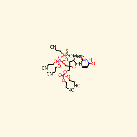 [C-]#[N+]CCOP(=O)(OCC[N+]#[C-])OCC1(COP(=O)(OCC[N+]#[C-])OCC[N+]#[C-])O[C@@H](n2ccc(=O)[nH]c2=O)C(OC)[C@H]1OP(=S)(OC)OCC[N+]#[C-]